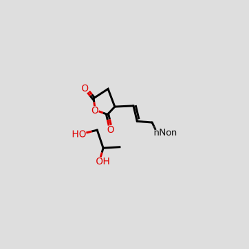 CC(O)CO.CCCCCCCCCCC=CC1CC(=O)OC1=O